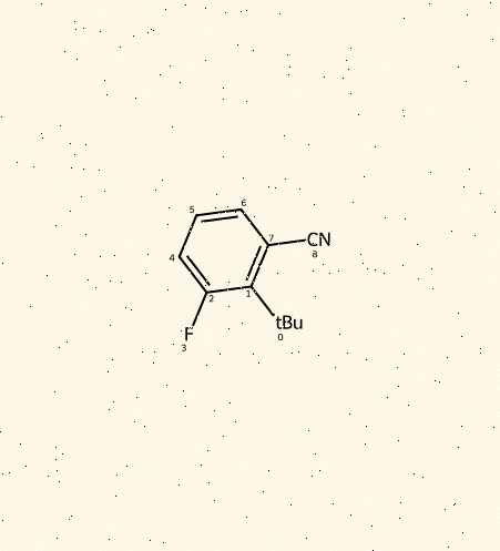 CC(C)(C)c1c(F)cccc1C#N